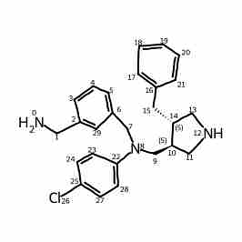 NCc1cccc(CN(C[C@@H]2CNC[C@H]2Cc2ccccc2)c2ccc(Cl)cc2)c1